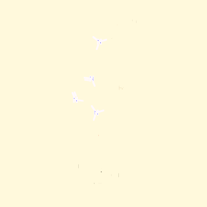 CC(C)(C)OC(=O)N1CCC(Oc2cnc3c(n2)c(Br)cn3COCC[Si](C)(C)C)C1